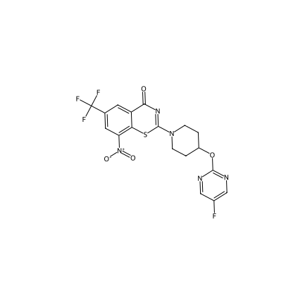 O=c1nc(N2CCC(Oc3ncc(F)cn3)CC2)sc2c([N+](=O)[O-])cc(C(F)(F)F)cc12